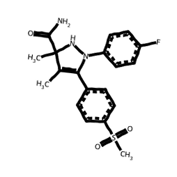 CC1=C(c2ccc(S(C)(=O)=O)cc2)N(c2ccc(F)cc2)NC1(C)C(N)=O